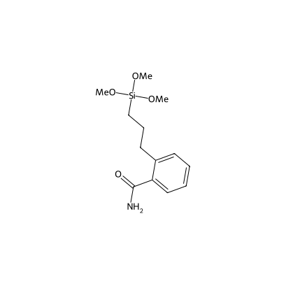 CO[Si](CCCc1ccccc1C(N)=O)(OC)OC